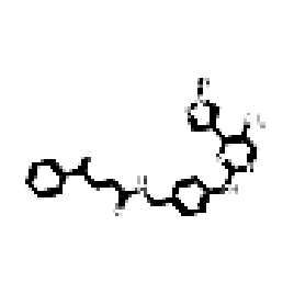 Cc1cnc(Nc2ccc(CNC(=O)/C=C/C(=O)c3ccccc3)cc2)nc1-c1cnn(C(C)C)c1